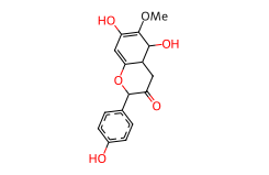 COC1=C(O)C=C2OC(c3ccc(O)cc3)C(=O)CC2C1O